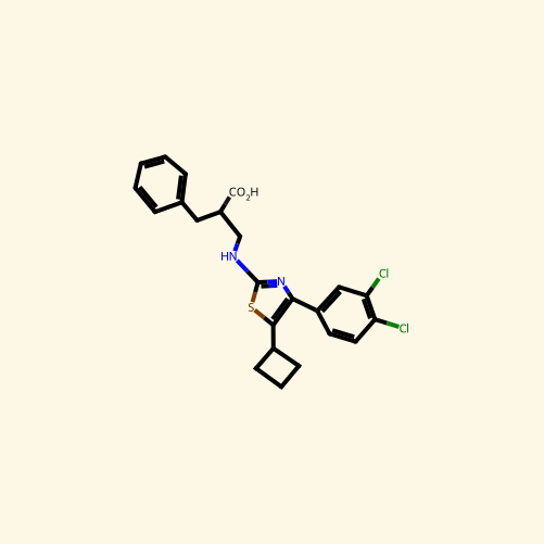 O=C(O)C(CNc1nc(-c2ccc(Cl)c(Cl)c2)c(C2CCC2)s1)Cc1ccccc1